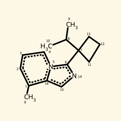 Cc1cccn2c(C3(C(C)C)CCC3)ncc12